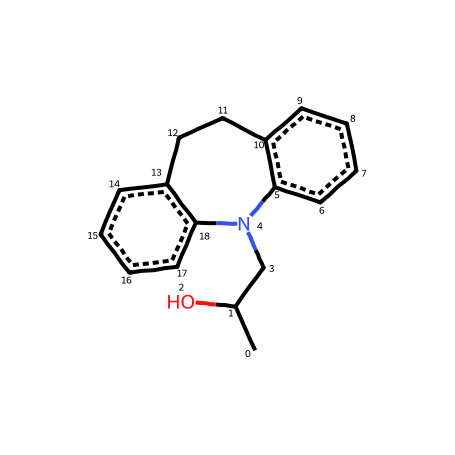 CC(O)CN1c2ccccc2CCc2ccccc21